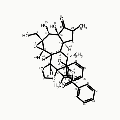 C=C(C)[C@@]12OCO[C@@H]1[C@@H]1[C@@H]3O[C@]3(CO)[C@@H](O)[C@]3(O)C(=O)C(C)C[C@H]3[C@@]1(Oc1ccccc1)[C@H](C)[C@H]2OC(=O)c1ccccc1